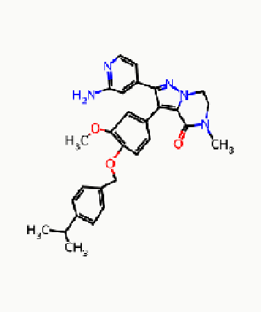 COc1cc(-c2c(-c3ccnc(N)c3)nn3c2C(=O)N(C)CC3)ccc1OCc1ccc(C(C)C)cc1